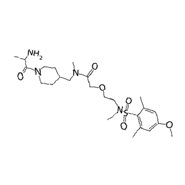 COc1cc(C)c(S(=O)(=O)N(C)CCOCC(=O)N(C)CC2CCN(C(=O)C(C)N)CC2)c(C)c1